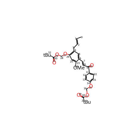 CC=CCc1cc(C=CC(=O)c2ccc(OCOC(=O)C(C)(C)C)cc2)c(OC)cc1OCOC(=O)C(C)(C)C